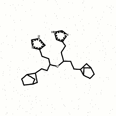 c1nc(CCC(CCC2CC3CCC2C3)OC(CCc2c[nH]cn2)CCC2CC3CCC2C3)c[nH]1